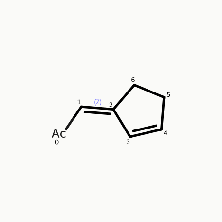 CC(=O)/C=C1\C=CCC1